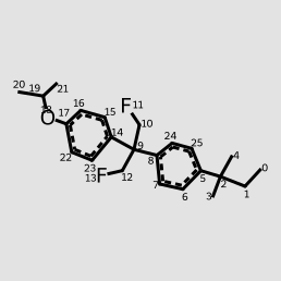 CCC(C)(C)c1ccc(C(CF)(CF)c2ccc(OC(C)C)cc2)cc1